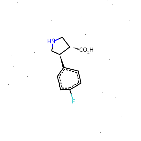 O=C(O)[C@H]1CNC[C@@H]1c1ccc(F)cc1